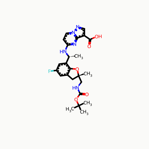 C[C@@H](Nc1ccn2ncc(C(=O)O)c2n1)c1cc(F)cc2c1O[C@](C)(CNC(=O)OC(C)(C)C)C2